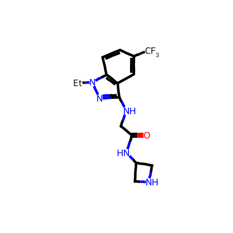 CCn1nc(NCC(=O)NC2CNC2)c2cc(C(F)(F)F)ccc21